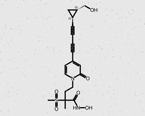 CC(CCn1ccc(C#CC#C[C@H]2C[C@@H]2CO)cc1=O)(C(=O)NO)S(C)(=O)=O